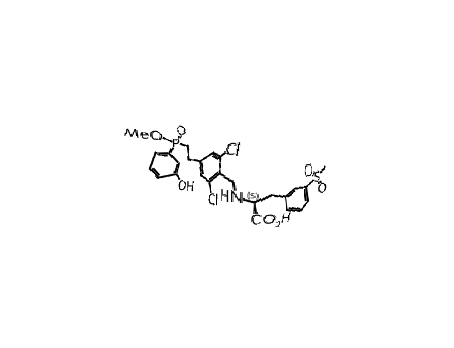 COP(=O)(CCc1cc(Cl)c(CN[C@@H](Cc2cccc(S(C)(=O)=O)c2)C(=O)O)c(Cl)c1)c1cccc(O)c1